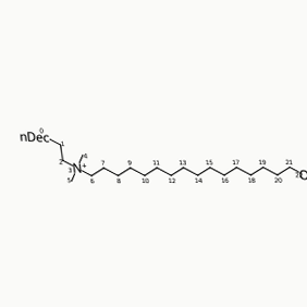 CCCCCCCCCCCC[N+](C)(C)CCCCCCCCCCCCCCCCO